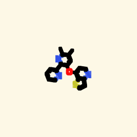 Cc1cc(Oc2ccnc3ccsc23)c(-c2ccccn2)nc1C